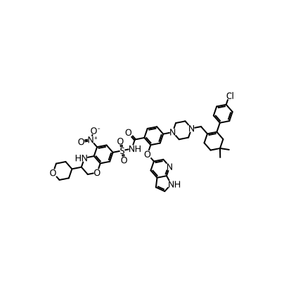 CC1(C)CCC(CN2CCN(c3ccc(C(=O)NS(=O)(=O)c4cc5c(c([N+](=O)[O-])c4)NC(C4CCOCC4)CO5)c(Oc4cnc5[nH]ccc5c4)c3)CC2)=C(c2ccc(Cl)cc2)C1